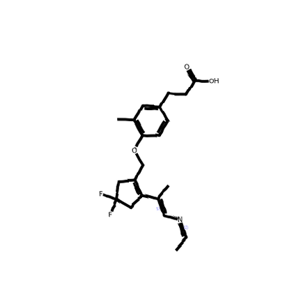 C/C=N\C=C(/C)C1=C(COc2ccc(CCC(=O)O)cc2C)CC(F)(F)C1